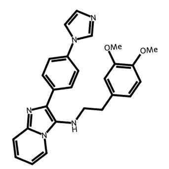 COc1ccc(CCNc2c(-c3ccc(-n4ccnc4)cc3)nc3ccccn23)cc1OC